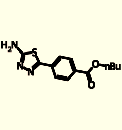 CCCCOC(=O)c1ccc(-c2nnc(N)s2)cc1